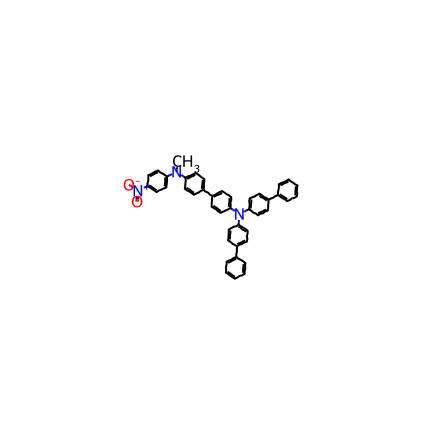 CN(c1ccc(-c2ccc(N(c3ccc(-c4ccccc4)cc3)c3ccc(-c4ccccc4)cc3)cc2)cc1)c1ccc([N+](=O)[O-])cc1